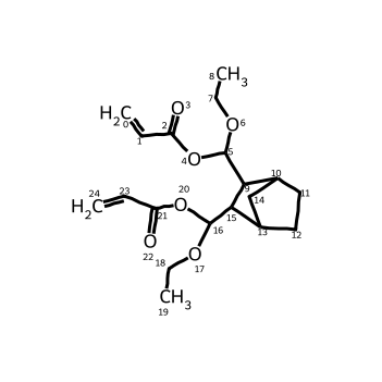 C=CC(=O)OC(OCC)C1C2CCC(C2)C1C(OCC)OC(=O)C=C